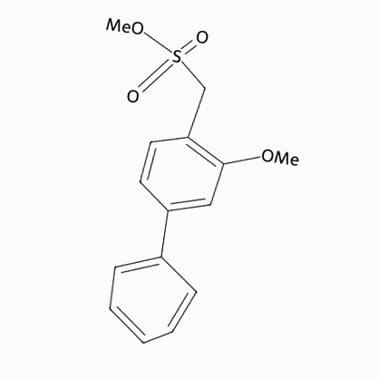 COc1cc(-c2ccccc2)ccc1CS(=O)(=O)OC